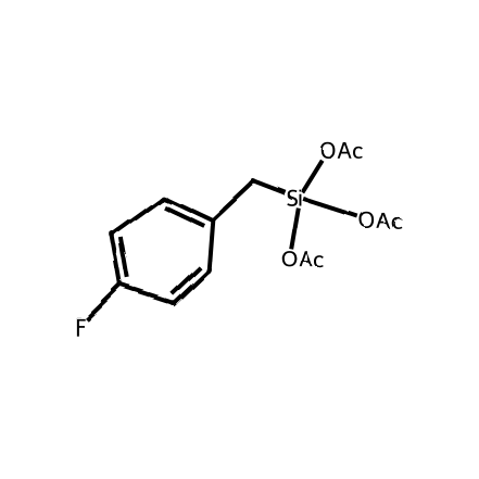 CC(=O)O[Si](Cc1ccc(F)cc1)(OC(C)=O)OC(C)=O